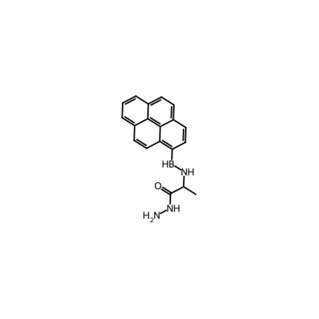 CC(NBc1ccc2ccc3cccc4ccc1c2c34)C(=O)NN